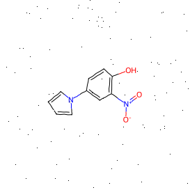 O=[N+]([O-])c1cc(-n2cccc2)ccc1O